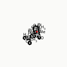 CC[C@H](C)[C@@H]([C@@H](CC(=O)N1CCC[C@H]1[C@H](OC)[C@@H](C)C(=O)N[C@H](C(=O)N1CCCCO1)[C@@H](C)c1ccccc1)OC)N(C)[C@H](C(=O)NC(=O)[C@H](C(C)C)N(C)CCCCCCN1C(=O)C=CC1=O)C(C)C